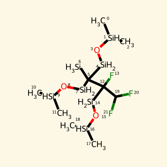 C[SiH](C)O[SiH2]C([SiH3])([SiH2]O[SiH](C)C)C(F)([SiH2]O[SiH](C)C)C(F)F